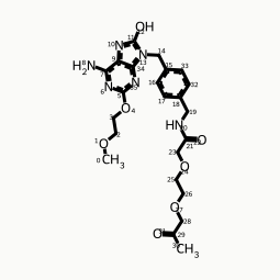 COCCOc1nc(N)c2nc(O)n(Cc3ccc(CNC(=O)COCCOCC(C)=O)cc3)c2n1